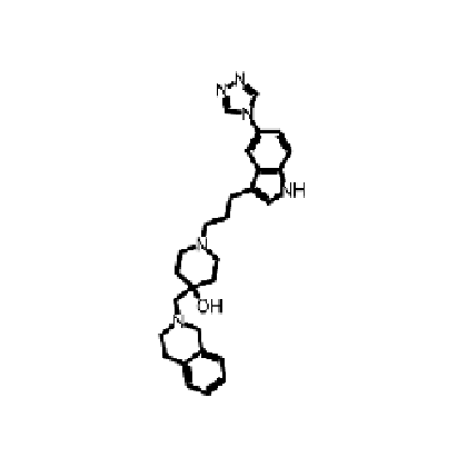 OC1(CN2CCc3ccccc3C2)CCN(CCCc2c[nH]c3ccc(-n4cnnc4)cc23)CC1